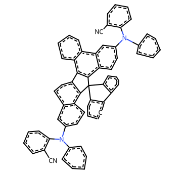 N#Cc1ccccc1N(c1ccccc1)c1ccc2c3c(ccc2c1)-c1c(c2ccc(N(c4ccccc4)c4ccccc4C#N)cc2c2ccccc12)C31c2ccccc2-c2ccccc21